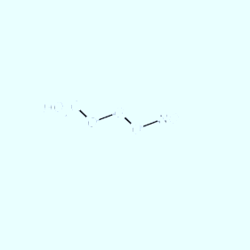 O=NOOOC(=O)O